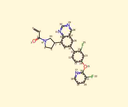 C=CC(=O)N1CCC(c2cc(-c3ccc(Oc4ncccc4F)cc3F)cc3cncnc23)C1